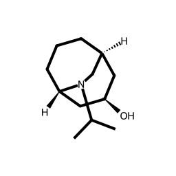 CC(C)N1C[C@H]2CCC[C@H]1C[C@H](O)C2